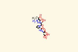 C[C@@H](O)[C@H](N)C(=O)N[C@@H](CO)C(=O)N1CCC[C@H]1C(=O)N[C@@H](CC(=O)O)C(=O)O